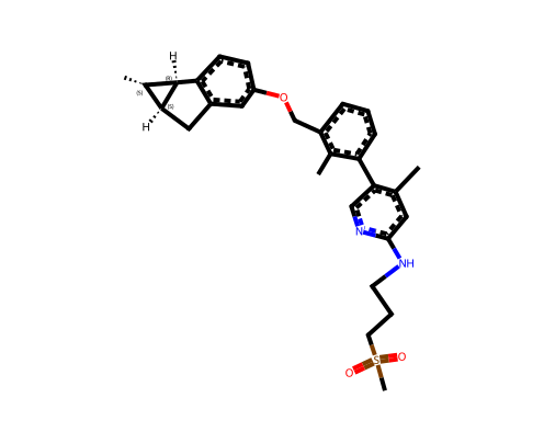 Cc1cc(NCCCS(C)(=O)=O)ncc1-c1cccc(COc2ccc3c(c2)C[C@H]2[C@H](C)[C@@H]32)c1C